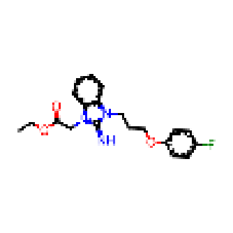 CCOC(=O)Cn1c(=N)n(CCCOc2ccc(F)cc2)c2ccccc21